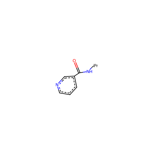 CC(C)NC(=O)c1cccnc1